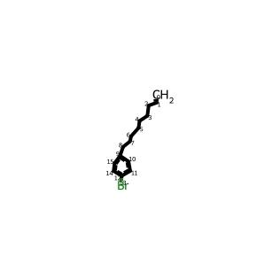 C=CCCCCCCCc1ccc(Br)cc1